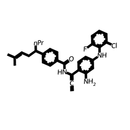 C=C=C(NC(=O)c1ccc(C(CC=C(C)C)CCC)cc1)c1ccc(Nc2c(F)cccc2Cl)cc1N